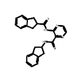 O=C(NC1Cc2ccccc2C1)c1nccnc1NC(=O)C1Cc2ccccc2C1